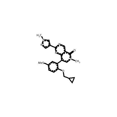 CSc1ccc(OCC2CC2)c(-c2cn(C)c(=O)c3cnc(-c4cnn(C)c4)nc23)c1